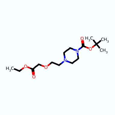 CCOC(=O)COCCN1CCN(C(=O)OC(C)(C)C)CC1